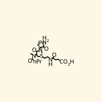 CCCC(=O)N(C)[C@H](CSCCNC(=O)CCC(=O)O)C(=O)N(C)[C@@H](CC(C)C)C(N)=O